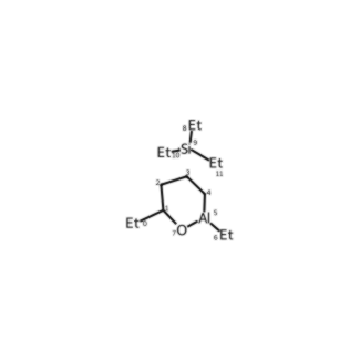 CCC1CC[CH2][Al]([CH2]C)[O]1.CC[Si](CC)CC